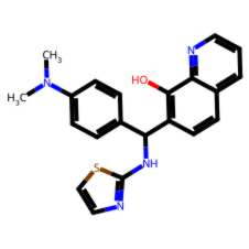 CN(C)c1ccc(C(Nc2nccs2)c2ccc3cccnc3c2O)cc1